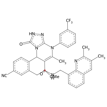 COC(=O)C1=C(C)N(c2cccc(C(F)(F)F)c2)c2n[nH]c(=O)n2C1c1ccc(C#N)cc1CCNCc1cccc2cc(C)c(C)nc12